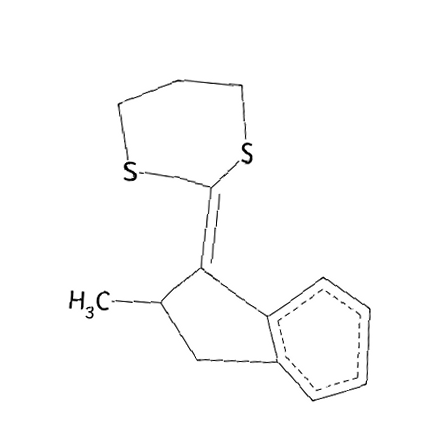 CC1Cc2ccccc2C1=C1SCCCS1